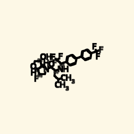 CC(C)C[C@H](N[C@@H](c1ccc(-c2ccc(C(F)(F)F)cc2)cc1)C(F)(F)F)C(=O)N1C[C@H](F)[C@H]2OC[C@H](O)[C@H]21